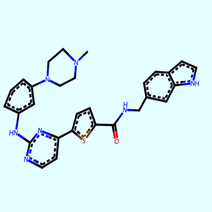 CN1CCN(c2cccc(Nc3nccc(-c4ccc(C(=O)NCc5ccc6cc[nH]c6c5)s4)n3)c2)CC1